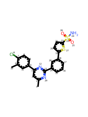 Cc1cc(-c2ccc(Cl)c(C)c2)nc(-c2cccc(-c3ccc(S(N)(=O)=O)s3)c2)n1